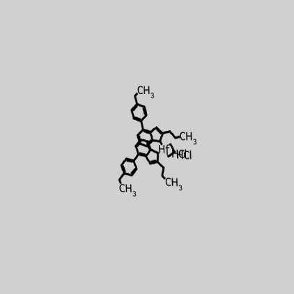 CCCC1=Cc2c(-c3ccc(CC)cc3)cccc2[CH]1[Hf]1([CH]2C(CCC)=Cc3c(-c4ccc(CC)cc4)cccc32)[CH2]C[CH2]1.Cl.Cl